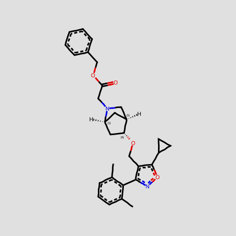 Cc1cccc(C)c1-c1noc(C2CC2)c1CO[C@@H]1C[C@@H]2C[C@H]1CN2CC(=O)OCc1ccccc1